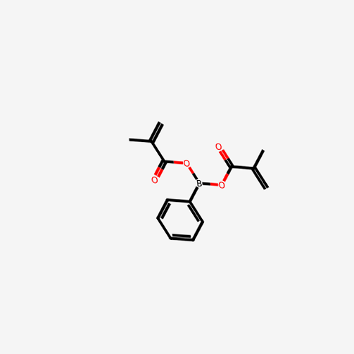 C=C(C)C(=O)OB(OC(=O)C(=C)C)c1ccccc1